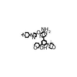 C[C@@H]1COCCN1c1cc(-c2cnc(N)c(Oc3cnn(C4CCN(C)CC4)c3)n2)cc(C2(O)CCCOC2)c1